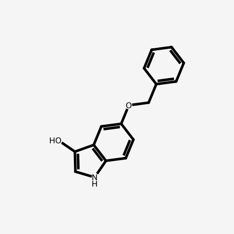 Oc1c[nH]c2ccc(OCc3ccccc3)cc12